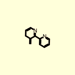 C=C1CC=CN=C1c1ccccn1